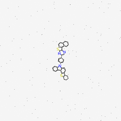 c1ccc2c(c1)ccc1sc3nc(-c4ccc(-n5c6ccccc6c6c7sc8ccccc8c7ccc65)cc4)cnc3c12